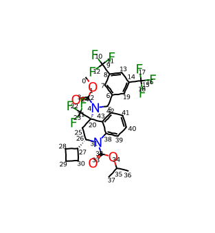 COC(=O)N(Cc1cc(C(F)(F)F)cc(C(F)(F)F)c1)[C@@]1(C(F)(F)F)C[C@@H](C2CCC2)N(C(=O)OC(C)C)c2ccccc21